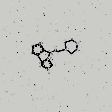 c1cc2c(s1)[C@@H](CCN1CCOCC1)n1cncc1-2